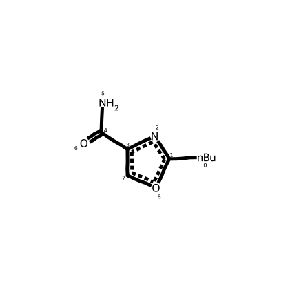 CCCCc1nc(C(N)=O)co1